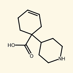 O=C(O)C1(C2CCNCC2)CC=CCC1